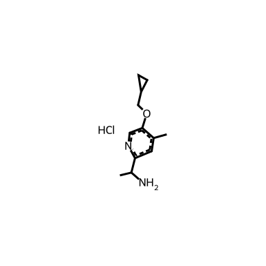 Cc1cc(C(C)N)ncc1OCC1CC1.Cl